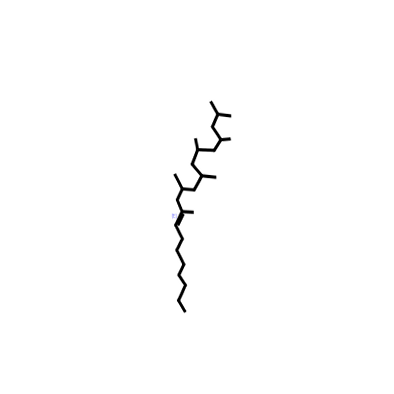 CCCCCCC/C=C(\C)CC(C)CC(C)CC(C)CC(C)CC(C)C